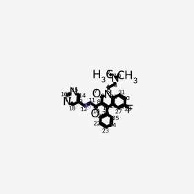 CN(C)CCn1c(=O)c(C(=O)/C=C/c2cncnc2)c(-c2ccccc2)c2cc(F)ccc21